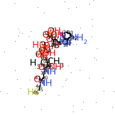 CC(C)(COP(=O)(O)OP(=O)(O)OC[C@H]1O[C@@H](n2cnc3c(N)ccnc32)C[C@H]1OP(=O)(O)O)[C@@H](O)C(=O)NCCC(=O)NCCS